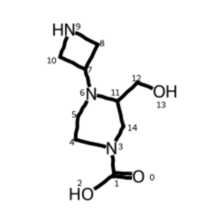 O=C(O)N1CCN(C2CNC2)C(CO)C1